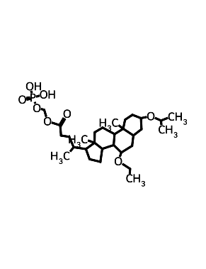 CCOC1CC2CC(OC(C)C)CCC2(C)C2CCC3(C)C(C(C)CCC(=O)OCOP(=O)(O)O)CCC3C12